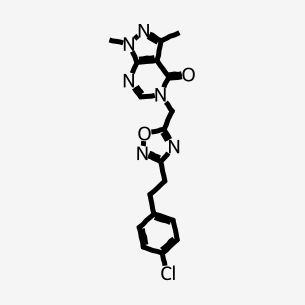 Cc1nn(C)c2ncn(Cc3nc(CCc4ccc(Cl)cc4)no3)c(=O)c12